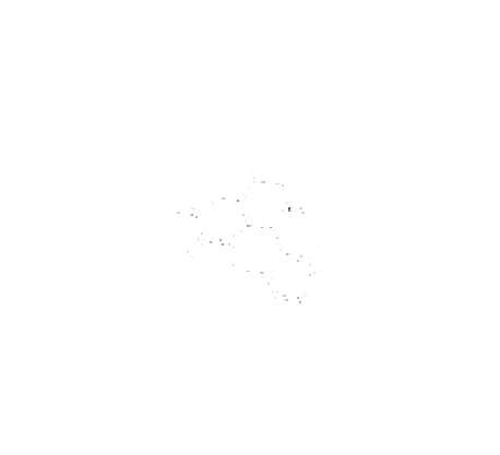 Cc1cccc(C)c1-n1c(=O)nc(Cl)c2cc(F)c(Cl)nc21